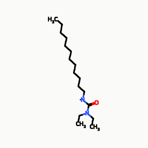 CCCCCCCCCCCC[N]C(=O)N(CC)CC